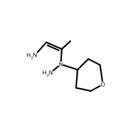 C/C(=C/N)N(N)C1CCOCC1